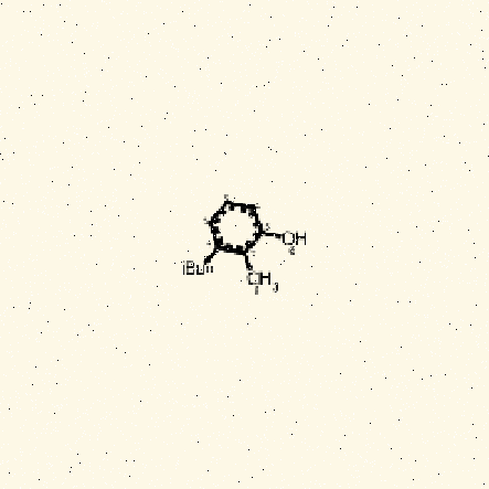 CCC(C)c1cccc(O)c1C